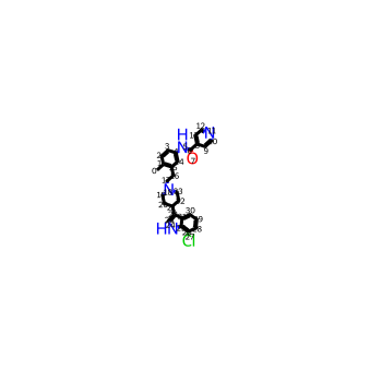 Cc1ccc(NC(=O)c2ccncc2)cc1CCN1CCC(c2c[nH]c3c(Cl)cccc23)CC1